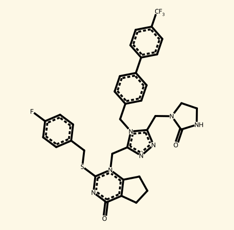 O=C1NCCN1Cc1nnc(Cn2c(SCc3ccc(F)cc3)nc(=O)c3c2CCC3)n1Cc1ccc(-c2ccc(C(F)(F)F)cc2)cc1